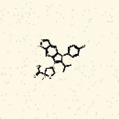 CC(C)c1c([C@@H]2CO[C@@](C)(C(=O)O)C2)c2nc3[nH]ncc3cc2n1-c1ccc(F)cc1